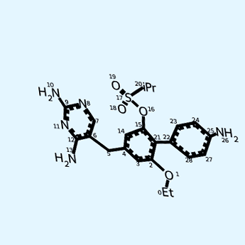 CCOc1cc(Cc2cnc(N)nc2N)cc(OS(=O)(=O)C(C)C)c1-c1ccc(N)cc1